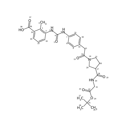 Cc1c(NC(=O)Nc2ccc(CC(=O)N3CCC(C(=O)NCC(=O)OC(C)(C)C)C3)cc2)cccc1C(=O)O